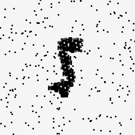 Cc1cc(S(=O)(=O)O)c2c(NC(=O)c3ccc(C)c(NC(=O)c4cccc(NC(=O)Nc5cccc(C(=O)Nc6cc(C(=O)Nc7ccc(S(=O)(=O)O)c8cc(S(=O)(=O)O)cc(C)c78)ccc6C)c5)c4)c3)ccc(C)c2c1